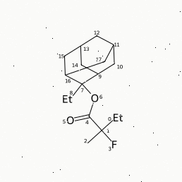 CCC(C)(F)C(=O)OC1(CC)C2CC3CC(C2)CC1C3